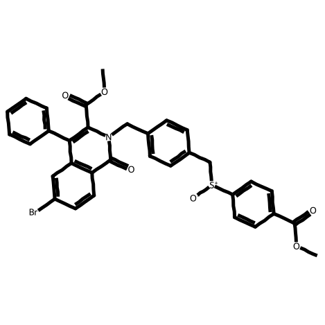 COC(=O)c1ccc([S+]([O-])Cc2ccc(Cn3c(C(=O)OC)c(-c4ccccc4)c4cc(Br)ccc4c3=O)cc2)cc1